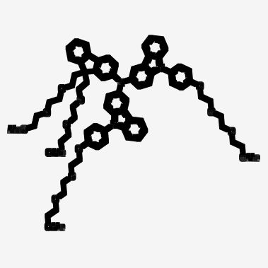 COCCOCCOCCOc1ccc(-n2c3ccccc3c3cc(N(c4ccc5c(c4)C(CCOCCOCCOC)(CCOCCOCCOC)c4ccccc4-5)c4ccc5c(c4)c4ccccc4n5-c4ccc(OCCOCCOCCOC)cc4)ccc32)cc1